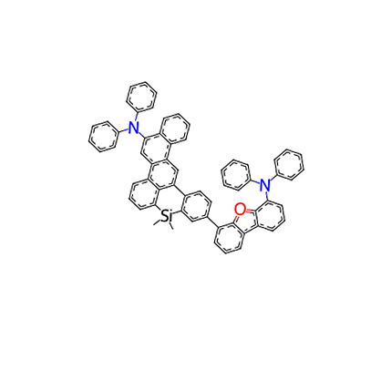 C[Si]1(C)c2cc(-c3cccc4c3oc3c(N(c5ccccc5)c5ccccc5)cccc34)ccc2-c2cc3c4ccccc4c(N(c4ccccc4)c4ccccc4)cc3c3cccc1c23